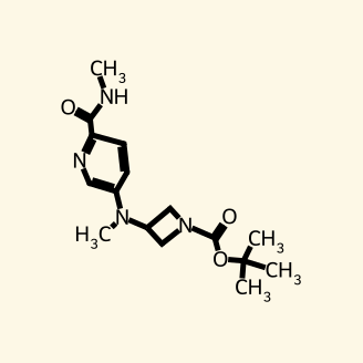 CNC(=O)c1ccc(N(C)C2CN(C(=O)OC(C)(C)C)C2)cn1